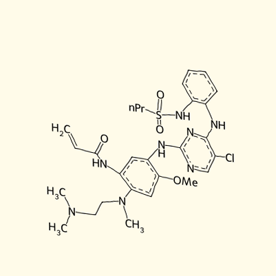 C=CC(=O)Nc1cc(Nc2ncc(Cl)c(Nc3ccccc3NS(=O)(=O)CCC)n2)c(OC)cc1N(C)CCN(C)C